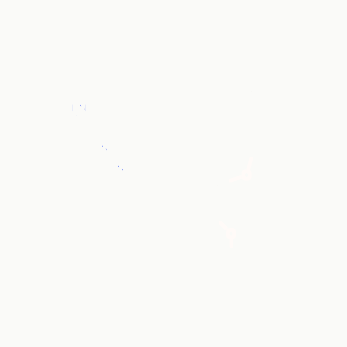 COc1ccc(-c2ccc(N)nn2)cc1OC1CCCCC1